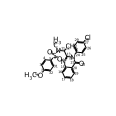 COc1ccc(S(=O)(=O)N(C)C(C)c2nc3ccccc3c(=O)n2-c2ccc(Cl)cc2)cc1